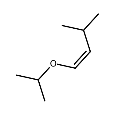 CC(C)/C=C\OC(C)C